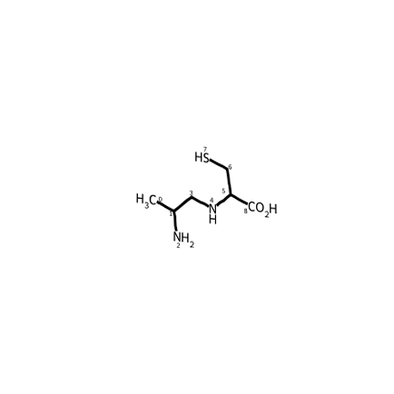 CC(N)CNC(CS)C(=O)O